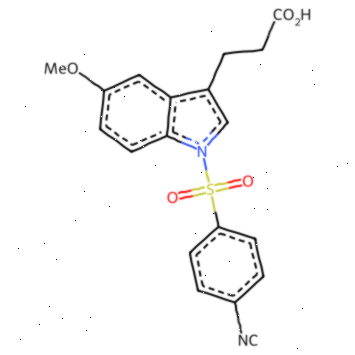 [C-]#[N+]c1ccc(S(=O)(=O)n2cc(CCC(=O)O)c3cc(OC)ccc32)cc1